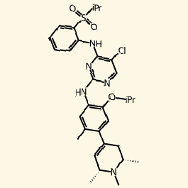 Cc1cc(Nc2ncc(Cl)c(Nc3ccccc3S(=O)(=O)C(C)C)n2)c(OC(C)C)cc1C1=C[C@@H](C)N(C)[C@@H](C)C1